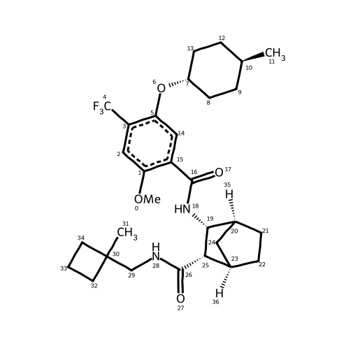 COc1cc(C(F)(F)F)c(O[C@H]2CC[C@H](C)CC2)cc1C(=O)N[C@@H]1[C@H]2CC[C@H](C2)[C@@H]1C(=O)NCC1(C)CCC1